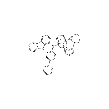 c1ccc(-c2ccc(N(c3ccc4c(c3)-c3c5cccc3-c3cccc-4c3-c3ccccc3-5)c3cccc4c3sc3ccccc34)cc2)cc1